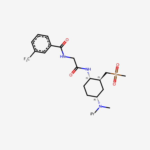 CC(C)N(C)[C@@H]1CC[C@H](NC(=O)CNC(=O)c2cccc(C(F)(F)F)c2)[C@@H](CS(C)(=O)=O)C1